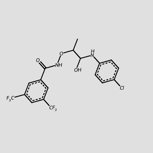 CC(ONC(=O)c1cc(C(F)(F)F)cc(C(F)(F)F)c1)C(O)Nc1ccc(Cl)cc1